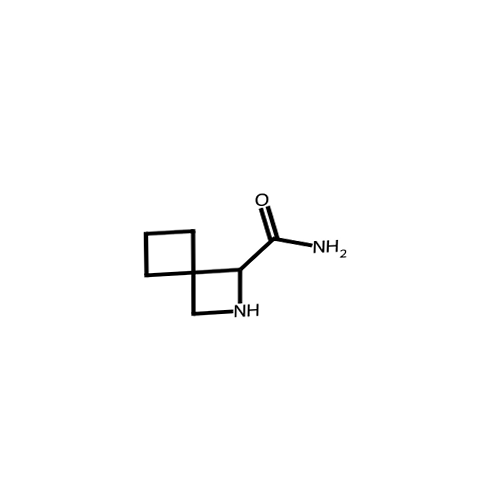 NC(=O)C1NCC12CCC2